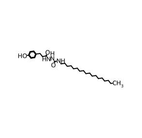 CCCCCCCCCCCCCCCCCCNC(=O)NNC(=O)CCc1ccc(O)cc1